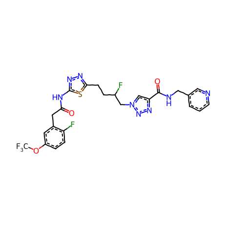 O=C(Cc1cc(OC(F)(F)F)ccc1F)Nc1nnc(CCC(F)Cn2cc(C(=O)NCc3cccnc3)nn2)s1